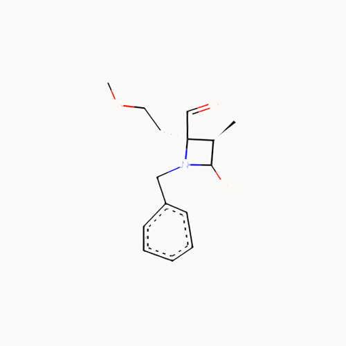 COCC[C@]1(C=O)[C@@H](C)C(O)N1Cc1ccccc1